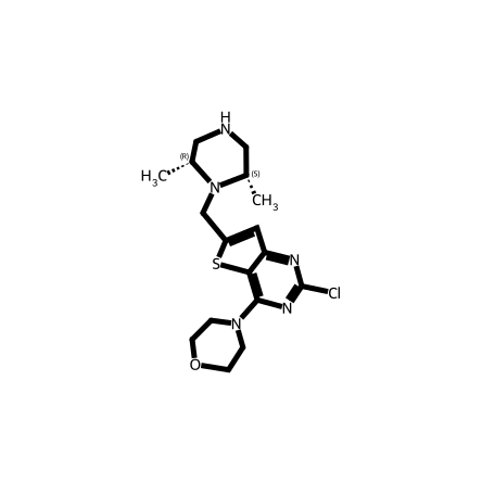 C[C@@H]1CNC[C@H](C)N1Cc1cc2nc(Cl)nc(N3CCOCC3)c2s1